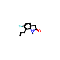 C=CCc1c(F)ccc2c1N(C)C(=O)C2